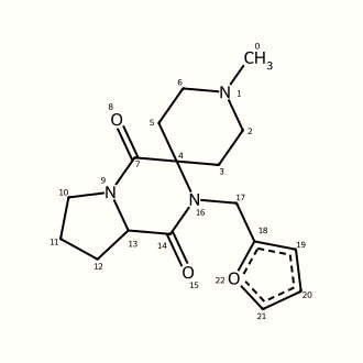 CN1CCC2(CC1)C(=O)N1CCCC1C(=O)N2Cc1ccco1